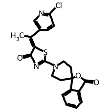 C/C(=C1/SC(N2CCC3(CC2)OC(=O)c2ccccc23)=NC1=O)c1ccc(Cl)nc1